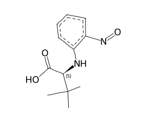 CC(C)(C)[C@H](Nc1ccccc1N=O)C(=O)O